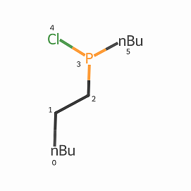 CCCCCCP(Cl)CCCC